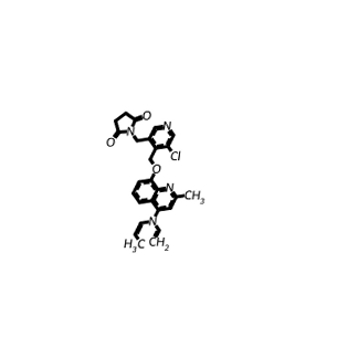 C=CN(/C=C\C)c1cc(C)nc2c(OCc3c(Cl)cncc3CN3C(=O)CCC3=O)cccc12